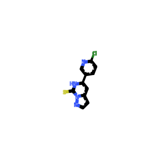 S=c1[nH]c(-c2ccc(Cl)nc2)cc2ccnn12